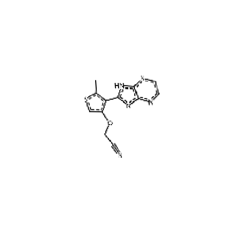 Cc1scc(OCC#N)c1-c1nc2nccnc2[nH]1